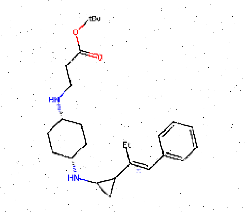 CC/C(=C\c1ccccc1)C1CC1N[C@H]1CC[C@@H](NCCC(=O)OC(C)(C)C)CC1